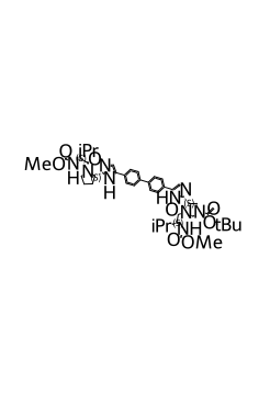 COC(=O)N[C@H](C(=O)N1CCC[C@H]1c1ncc(-c2ccc(-c3ccc(-c4cnc([C@@H]5CN(C(=O)OC(C)(C)C)CN5C(=O)[C@@H](NC(=O)OC)C(C)C)[nH]4)cc3)cc2)[nH]1)C(C)C